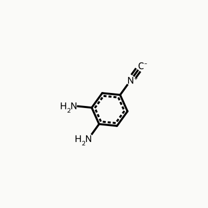 [C-]#[N+]c1ccc(N)c(N)c1